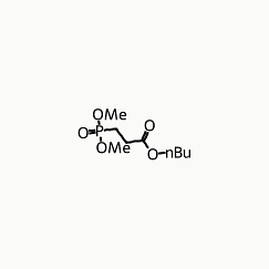 CCCCOC(=O)CCP(=O)(OC)OC